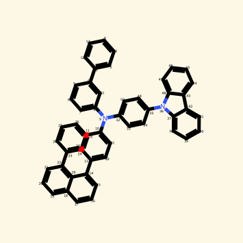 c1ccc(-c2cccc(N(c3ccc(-c4cccc5cccc(-c6ccccc6)c45)cc3)c3ccc(-n4c5ccccc5c5ccccc54)cc3)c2)cc1